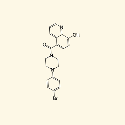 O=C(c1ccc(O)c2ncccc12)N1CCN(c2ccc(Br)cc2)CC1